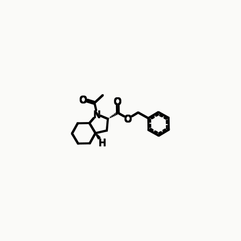 CC(=O)N1C2CCCC[C@H]2C[C@H]1C(=O)OCc1ccccc1